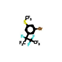 FC(F)(F)Sc1[c]c(Br)cc(C(F)(C(F)(F)F)C(F)(F)C(F)(F)F)c1